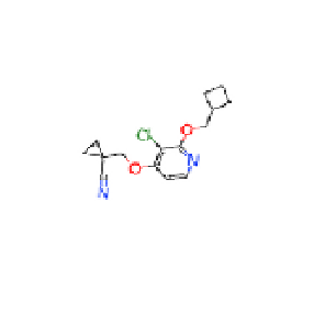 N#CC1(COc2ccnc(OCC3CCC3)c2Cl)CC1